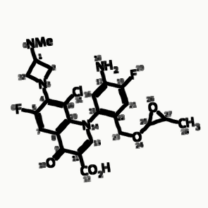 CNC1CN(c2c(F)cc3c(=O)c(C(=O)O)cn(-c4cc(N)c(F)cc4COC4OC4C)c3c2Cl)C1